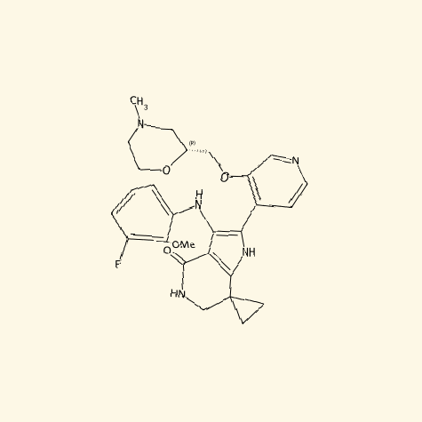 COc1c(F)cccc1Nc1c(-c2ccncc2OC[C@H]2CN(C)CCO2)[nH]c2c1C(=O)NCC21CC1